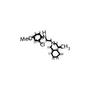 C=CCN(CCNc1ccc(OC)cc1Cl)CC1CCCCC1